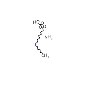 CCCCCC/C=C\CCCCCCCC(=O)OC(=O)CO.N